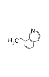 CCC1C=CCC2=C1C=NC=C=C2